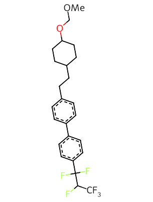 COCOC1CCC(CCc2ccc(-c3ccc(C(F)(F)C(F)C(F)(F)F)cc3)cc2)CC1